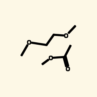 COC(C)=O.COCCOC